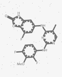 COc1c(F)ccc(Nc2ncc(C)c(Nc3cc(F)c4oc(=O)[nH]c4c3)n2)c1F